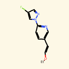 CCOC=Cc1ccc(-n2cc(F)cn2)nc1